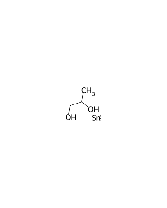 CC(O)CO.[Sn]